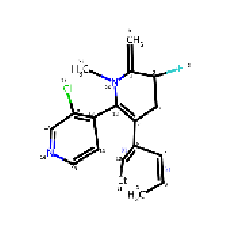 C=C1C(F)CC(C(/C=C\C)=C/CC)=C(c2ccncc2Cl)N1C